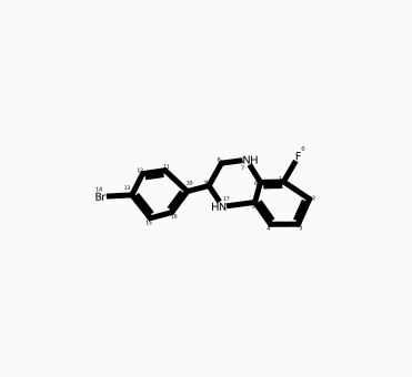 Fc1cccc2c1NCC(c1ccc(Br)cc1)N2